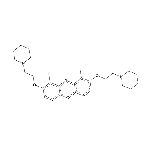 Cc1c(OCCN2CCCCC2)ccc2cc3ccc(OCCN4CCCCC4)c(C)c3nc12